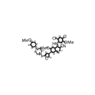 COc1ccc(N2CCN(Cc3cc(-c4cc5ncc(C#N)c(Nc6cc(OC)c(Cl)cc6Cl)c5cc4OC)co3)CC2)cc1